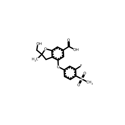 CC1(CO)Cc2c(Oc3ccc(S(C)(=O)=O)c(F)c3)cc(C(=O)O)cc2O1